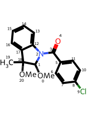 COC1N(C(=O)c2ccc(Cl)cc2)c2ccccc2C1(C)OC